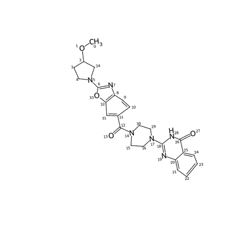 COC1CCN(c2nc3ccc(C(=O)N4CCN(c5nc6ccccc6c(=O)[nH]5)CC4)cc3o2)C1